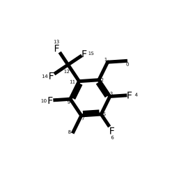 CCc1c(F)c(F)c(C)c(F)c1C(F)(F)F